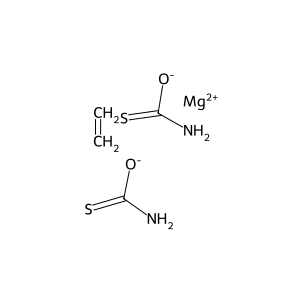 C=C.NC([O-])=S.NC([O-])=S.[Mg+2]